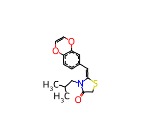 CC(C)CN1C(=O)CSC1=Cc1ccc2c(c1)OC=CO2